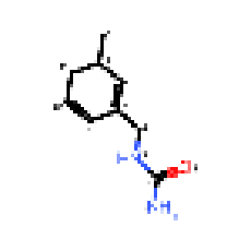 CC1C=C(CNC(N)=O)C=CC1